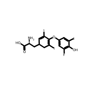 N[C@@H](CC1C=C(I)C(Oc2cc(F)c(O)c(I)c2)=C(I)C1)C(=O)O